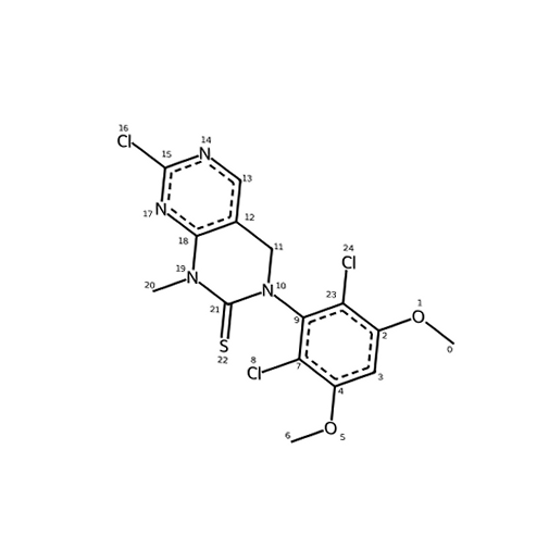 COc1cc(OC)c(Cl)c(N2Cc3cnc(Cl)nc3N(C)C2=S)c1Cl